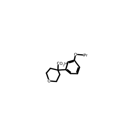 CC(C)Oc1cccc(C2(C(=O)O)CCOCC2)c1